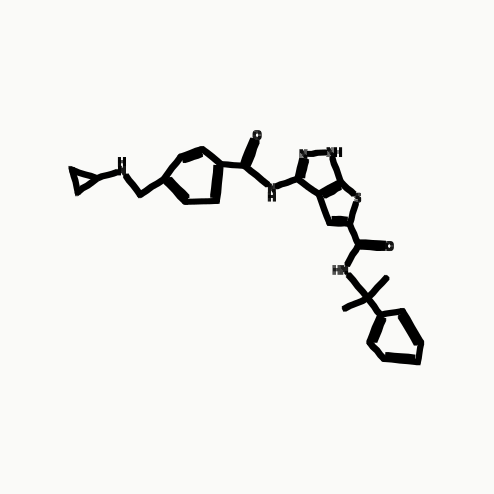 CC(C)(NC(=O)c1cc2c(NC(=O)c3ccc(CNC4CC4)cc3)n[nH]c2s1)c1ccccc1